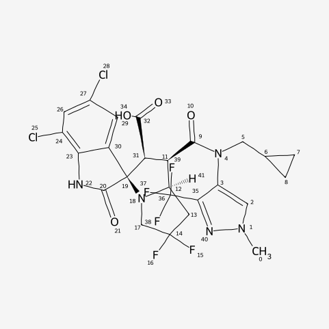 Cn1cc(N(CC2CC2)C(=O)[C@H]2[C@H]3CC(F)(F)CN3[C@]3(C(=O)Nc4c(Cl)cc(Cl)cc43)[C@H]2C(=O)O)c(C(F)(F)F)n1